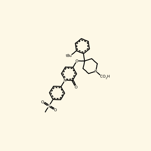 CC(C)(C)c1ccccc1C1(Oc2ccn(-c3ccc(S(C)(=O)=O)cc3)c(=O)c2)CCN(C(=O)O)CC1